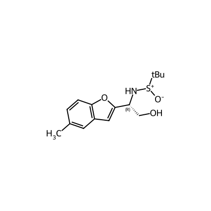 Cc1ccc2oc([C@@H](CO)N[S+]([O-])C(C)(C)C)cc2c1